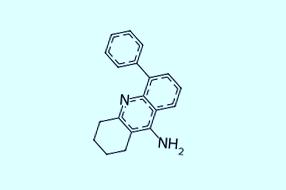 Nc1c2c(nc3c(-c4ccccc4)cccc13)CCCC2